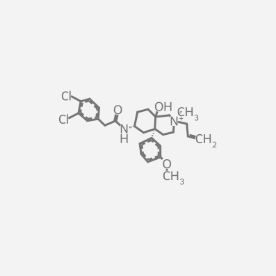 C=CC[N@@+]1(C)CC[C@@]2(c3cccc(OC)c3)C[C@H](NC(=O)Cc3ccc(Cl)c(Cl)c3)CCC2(O)C1